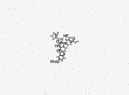 C=CC(=O)N1CCN(C2NC(OCC3CCCN3C)NC3C(=O)[C@]4(CCC32)Cc2cc(OC)ccc2S4)CC1CC#N